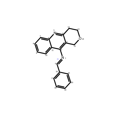 C(=N\c1c2c(nc3ccccc13)CCOC2)/c1ccccc1